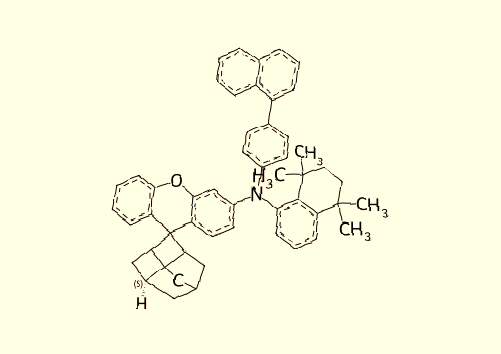 CC1(C)CCC(C)(C)c2c(N(c3ccc(-c4cccc5ccccc45)cc3)c3ccc4c(c3)Oc3ccccc3C43C4CC5C[C@H]6CC3C46C5)cccc21